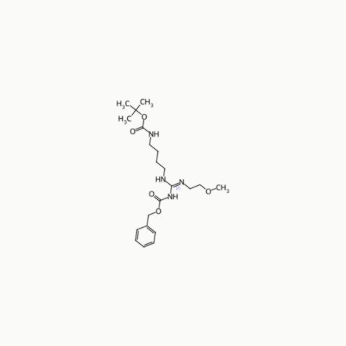 COCC/N=C(/NCCCCNC(=O)OC(C)(C)C)NC(=O)OCc1ccccc1